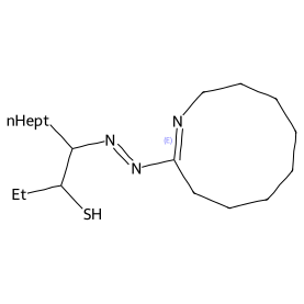 CCCCCCCC(N=N/C1=N/CCCCCCCC1)C(S)CC